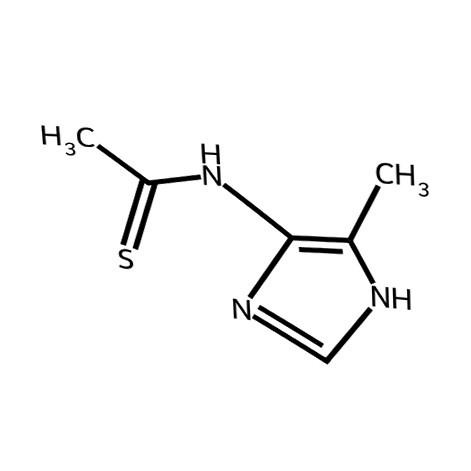 CC(=S)Nc1nc[nH]c1C